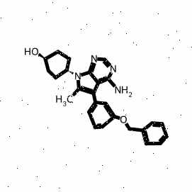 Cc1c(-c2cccc(OCc3ccccc3)c2)c2c(N)ncnc2n1[C@H]1CC[C@H](O)CC1